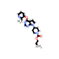 C=CCOC(=O)N1CCC(n2ccc3c(Oc4cccnc4C)ncnc32)CC1